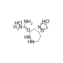 C1CCNNCC1.Cl.Cl.NC(N)=O.c1cnoc1